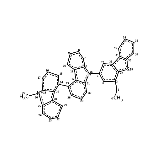 CCc1cc(-n2c3ccccc3c3c(-c4cccc5c4c4ccccc4n5C)cccc32)cc2c1sc1ccccc12